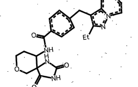 CCc1nn2ccccc2c1Cc1ccc(C(=O)NC2CCOCC23NC(=O)NC3=O)cc1